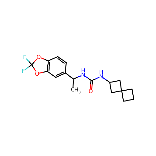 CC(NC(=O)NC1CC2(CCC2)C1)c1ccc2c(c1)OC(F)(F)O2